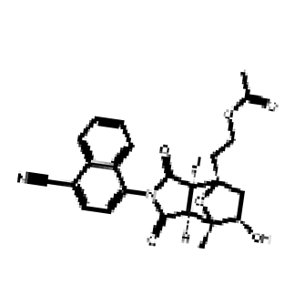 CC(=O)OCC[C@@]12C[C@@H](O)[C@@](C)(O1)[C@H]1C(=O)N(c3ccc(C#N)c4ccccc34)C(=O)[C@H]12